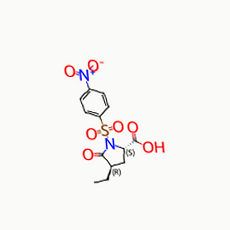 CC[C@@H]1C[C@@H](C(=O)O)N(S(=O)(=O)c2ccc([N+](=O)[O-])cc2)C1=O